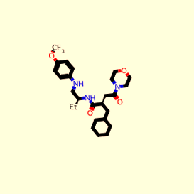 CC[C@@H](CNc1ccc(OC(F)(F)F)cc1)NC(=O)[C@@H](CC(=O)N1CCOCC1)CC1CCCCC1